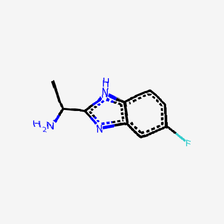 CC(N)c1nc2cc(F)ccc2[nH]1